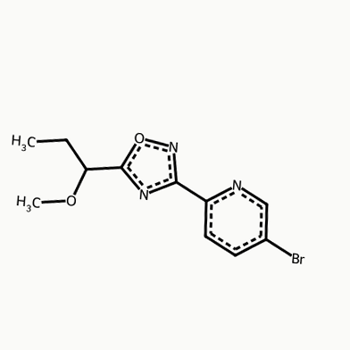 CCC(OC)c1nc(-c2ccc(Br)cn2)no1